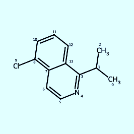 CC(C)c1nccc2c(Cl)cccc12